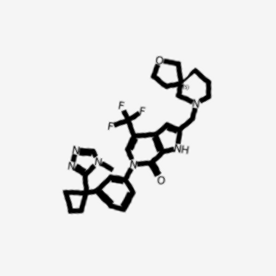 Cn1cnnc1C1(c2cccc(-n3cc(C(F)(F)F)c4cc(CN5CCC[C@]6(CCOC6)C5)[nH]c4c3=O)c2)CCC1